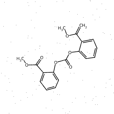 C=C(OC)c1ccccc1OC(=O)Oc1ccccc1C(=O)OC